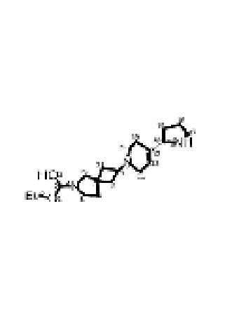 CCOC(O)N1CCC2(CC(N3CC=C([C@@H]4CCCN4)CC3)C2)C1